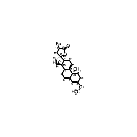 COC1=CC2=CCC3C(=CC[C@@]4(C)C3CC[C@@]43CC(F)C(=O)O3)[C@@]2(C)CC1